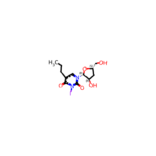 CCCc1cn([C@@H]2O[C@H](CO)C[C@H]2O)c(=O)n(I)c1=O